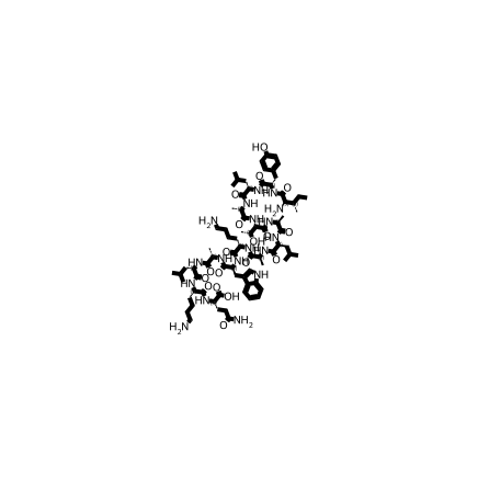 CC[C@H](C)[C@H](N)C(=O)N[C@@H](Cc1ccc(O)cc1)C(=O)N[C@@H](CC(C)C)C(=O)N[C@@H](C)C(=O)N[C@H](C(=O)N[C@@H](C)C(=O)N[C@@H](CC(C)C)C(=O)N[C@@H](C)C(=O)N[C@@H](CCCCN)C(=O)N[C@@H](Cc1c[nH]c2ccccc12)C(=O)N[C@@H](C)C(=O)N[C@@H](CC(C)C)C(=O)N[C@@H](CCCCN)C(=O)N[C@@H](CCC(N)=O)C(=O)O)[C@@H](C)O